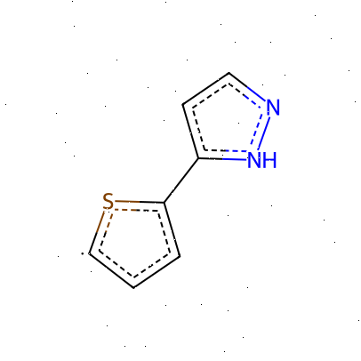 [c]1ccc(-c2ccn[nH]2)s1